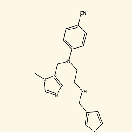 Cn1cncc1CN(CCNCc1ccsc1)c1ccc(C#N)cc1